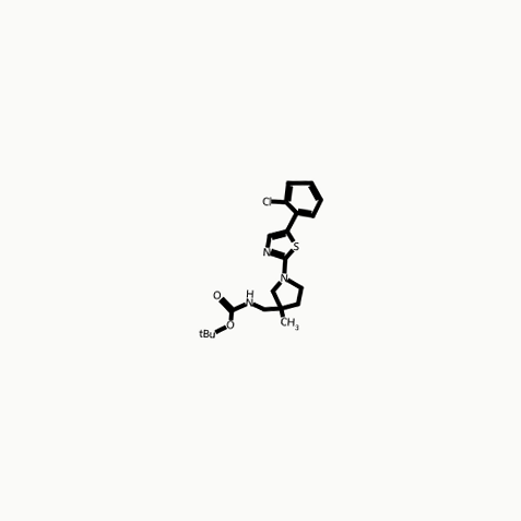 CC1(CNC(=O)OC(C)(C)C)CCN(c2ncc(-c3ccccc3Cl)s2)C1